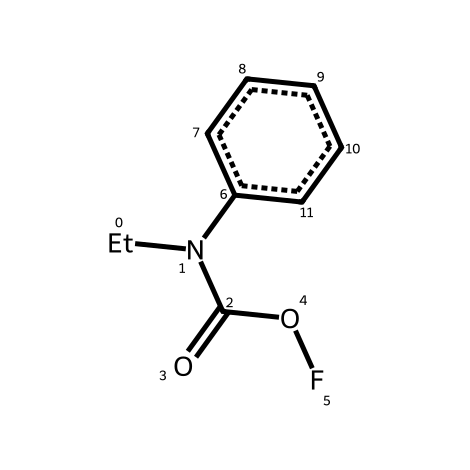 CCN(C(=O)OF)c1ccccc1